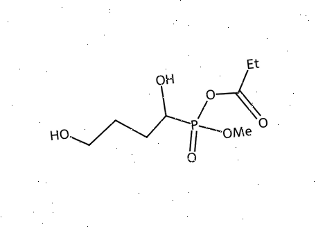 CCC(=O)OP(=O)(OC)C(O)CCCO